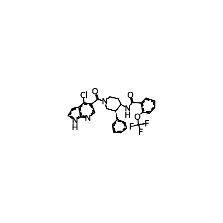 O=C(N[C@@H]1CCN(C(=O)c2cnc3[nH]ccc3c2Cl)C[C@@H]1c1ccccc1)c1ccccc1OC(F)(F)F